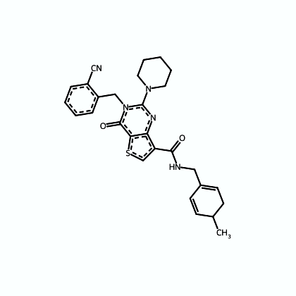 CC1C=CC(CNC(=O)c2csc3c(=O)n(Cc4ccccc4C#N)c(N4CCCCC4)nc23)=CC1